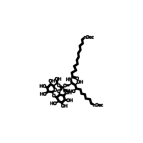 CCCCCCCCCCCCCCCCCCCCCC(=O)N[C@@H](COP(=O)(O)O[C@H]1C(O)C(O)C(O)[C@@H](O)C1O[C@H]1O[C@H](CO)[C@@H](O)C(O)C1O)[C@H](O)[C@H](O)CCCCCCCCCCCCCCCC